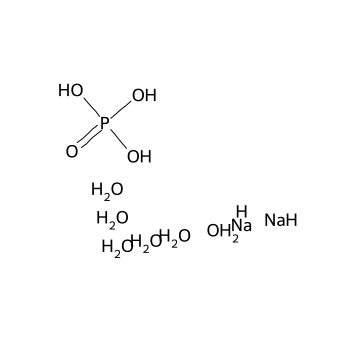 O.O.O.O.O.O.O=P(O)(O)O.[NaH].[NaH]